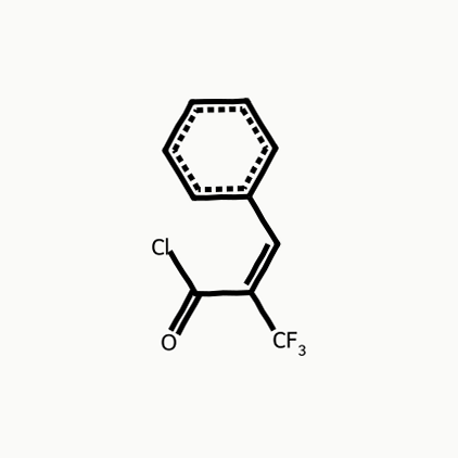 O=C(Cl)C(=Cc1ccccc1)C(F)(F)F